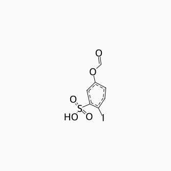 O=COc1ccc(I)c(S(=O)(=O)O)c1